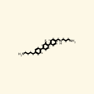 NCCCCc1ccc(-c2ccc(-c3ccc(CNCCCN)cc3)c(F)c2)cc1